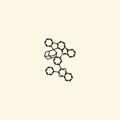 c1ccc(-c2nc3ccccc3nc2-c2cccc(-n3c4ccccc4c4ccc5c(c43)C3(c4ccccc4-5)C4CC5CC(C4)CC3C5)c2)cc1